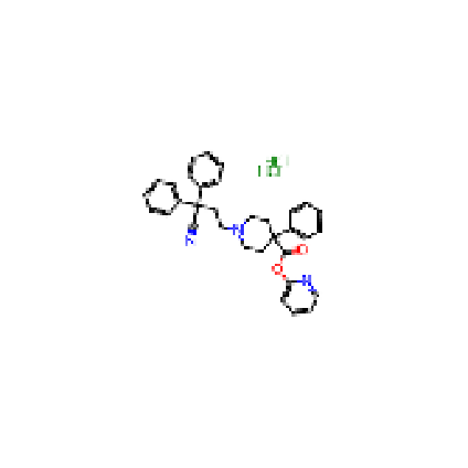 Cl.Cl.N#CC(CCN1CCC(C(=O)Oc2ccccn2)(c2ccccc2)CC1)(c1ccccc1)c1ccccc1